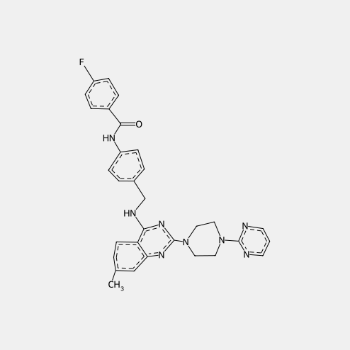 Cc1ccc2c(NCc3ccc(NC(=O)c4ccc(F)cc4)cc3)nc(N3CCN(c4ncccn4)CC3)nc2c1